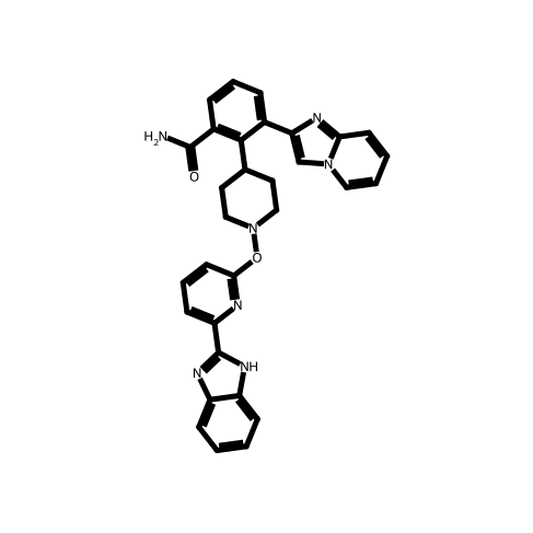 NC(=O)c1cccc(-c2cn3ccccc3n2)c1C1CCN(Oc2cccc(-c3nc4ccccc4[nH]3)n2)CC1